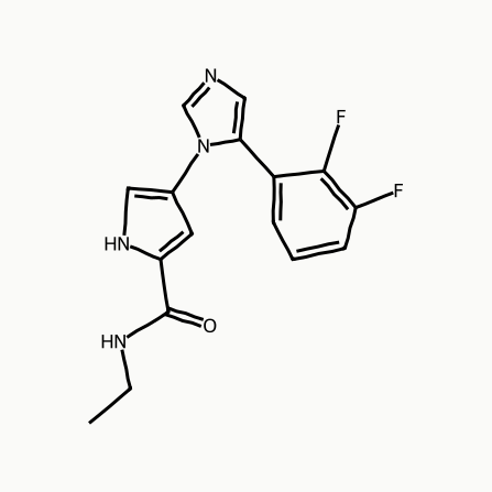 CCNC(=O)c1cc(-n2cncc2-c2cccc(F)c2F)c[nH]1